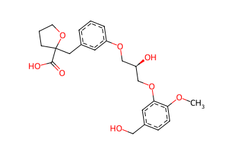 COc1ccc(CO)cc1OC[C@H](O)COc1cccc(CC2(C(=O)O)CCCO2)c1